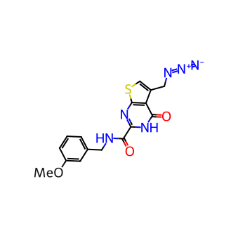 COc1cccc(CNC(=O)c2nc3scc(CN=[N+]=[N-])c3c(=O)[nH]2)c1